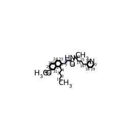 CCCCCc1c(/C=C/C(=O)N[C@H](C)CCCc2cccnc2)ccc2ccc(OC)cc12